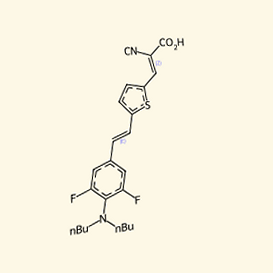 [C-]#[N+]/C(=C\c1ccc(/C=C/c2cc(F)c(N(CCCC)CCCC)c(F)c2)s1)C(=O)O